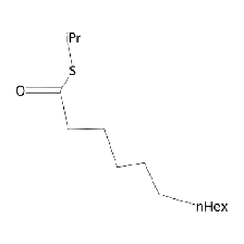 CCCCCCCCCCCC(=O)SC(C)C